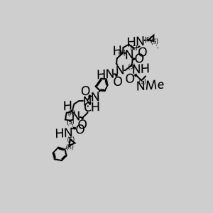 CN[C@@H](C)C(=O)N[C@H]1CN(C(=O)Nc2ccc(NC(=O)N3CCC(=O)N4[C@H](CC[C@H]4C(=O)N[C@H]4C[C@@H]4c4ccccc4)CC3)cc2)CC[C@H]2CC[C@@H](C(=O)N[C@H]3C[C@@H]3C)N2C1=O